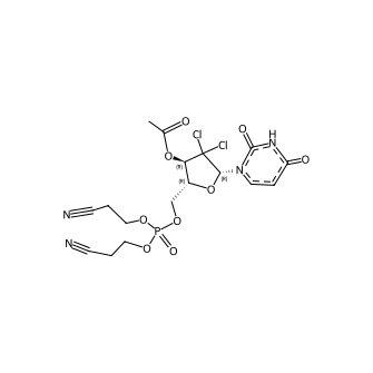 CC(=O)O[C@@H]1[C@@H](COP(=O)(OCCC#N)OCCC#N)O[C@@H](n2ccc(=O)[nH]c2=O)C1(Cl)Cl